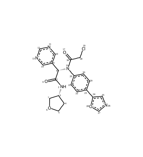 O=C(N[C@@H]1CCOC1)[C@H](c1cncnc1)N(C(=O)CCl)c1ccc(-c2cnco2)cc1